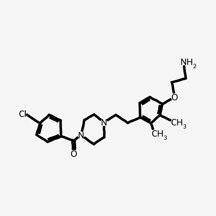 Cc1c(CCN2CCN(C(=O)c3ccc(Cl)cc3)CC2)ccc(OCCN)c1C